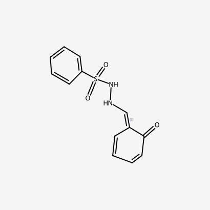 O=C1C=CC=C/C1=C\NNS(=O)(=O)c1ccccc1